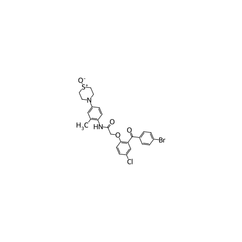 Cc1cc(N2CC[S+]([O-])CC2)ccc1NC(=O)COc1ccc(Cl)cc1C(=O)c1ccc(Br)cc1